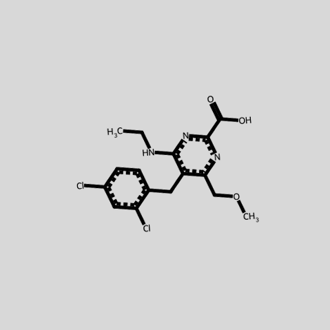 CCNc1nc(C(=O)O)nc(COC)c1Cc1ccc(Cl)cc1Cl